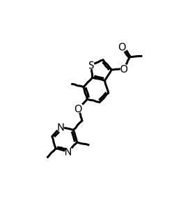 CC(=O)Oc1csc2c(C)c(OCc3ncc(C)nc3C)ccc12